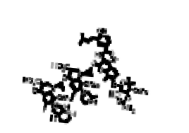 CO[C@@H]1[C@@H](OC(N)=O)[C@@H](O)[C@H](Oc2ccc3c(O)c(NC(=O)c4ccc(O)c(CC=C(C)C)c4)c(=O)oc3c2C)OC1(C)C.COc1c(N2CCNC(C)C2)c(F)cc2c(=O)c(C(=O)O)cn(C3CC3)c12.COc1c(N2C[C@@H]3CCCN[C@@H]3C2)c(F)cc2c(=O)c(C(=O)O)cn(C3CC3)c12